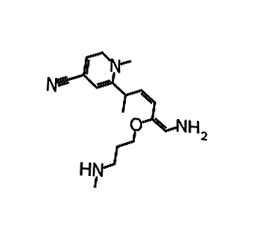 CNCCCOC(/C=C\C(C)C1=CC(C#N)=CCN1C)=C/N